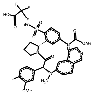 COC(=O)Nc1ccc(S(=O)(=O)C(C)C)c([C@H]2CCCN2C(=O)[C@H](c2ccc(F)c(OC)c2)N(N)c2ccc3cnccc3c2)c1.O=C(O)C(F)(F)F